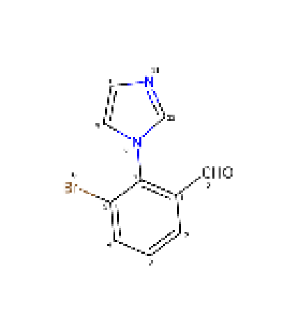 O=Cc1cccc(Br)c1-n1ccnc1